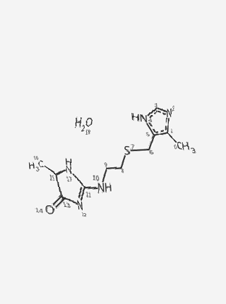 Cc1nc[nH]c1CSCCNC1=NC(=O)C(C)N1.O